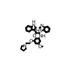 COc1cc(NC(C(=O)c2c[nH]c3ccccc23)[SH]2[C]=Nc3ccccc32)cc(OCCN2CCCC2)c1